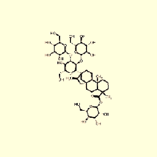 C=C1C[C@@]23CCC4C(C)(C(=O)O[C@@H]5O[C@H](CO)[C@H](O)[C@@H](O)[C@H]5O)CCC[C@@]4(C)C2CCC1([C@@H]1O[C@H](CO)[C@@H](O)[C@H](O[C@@H]2O[C@H](CO)[C@@H](O)[C@H](O)[C@H]2O)[C@H]1O[C@@H]1O[C@H](CO)[C@@H](O)[C@H](O)[C@H]1O)C3